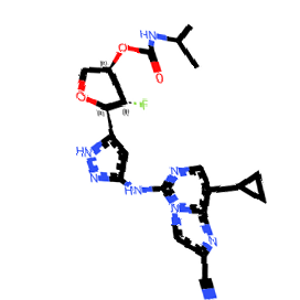 CC(C)NC(=O)O[C@@H]1CO[C@H](c2cc(Nc3ncc(C4CC4)c4nc(C#N)cn34)n[nH]2)[C@H]1F